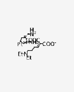 CCN(CC)CCCCC(C(=O)[O-])C(=O)[O-].NC[C@H]1CCC[C@H]1N.[Pt+2]